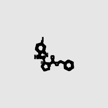 O=C(OCc1ccccc1)N1CCC[C@H]1c1nc2cc(I)ccc2[nH]1